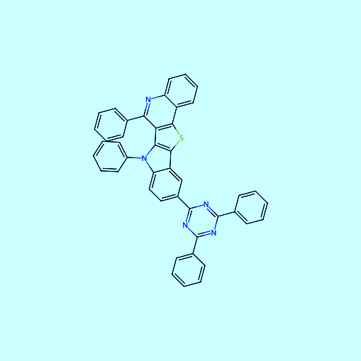 c1ccc(-c2nc(-c3ccccc3)nc(-c3ccc4c(c3)c3sc5c6ccccc6nc(-c6ccccc6)c5c3n4-c3ccccc3)n2)cc1